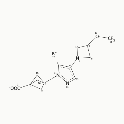 O=C([O-])C12CC(n3cc(N4CC(OC(F)(F)F)C4)cn3)(C1)C2.[K+]